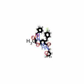 C[C@@]1(C(=O)OCc2ccccc2)COc2nc(C(=O)NC[C@H]3CCCO3)c(Cc3ccc(F)cc3)cc2N1